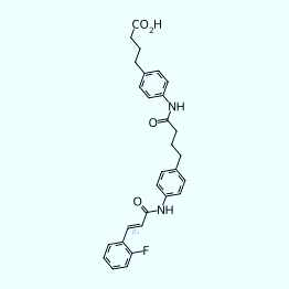 O=C(O)CCCc1ccc(NC(=O)CCCc2ccc(NC(=O)/C=C/c3ccccc3F)cc2)cc1